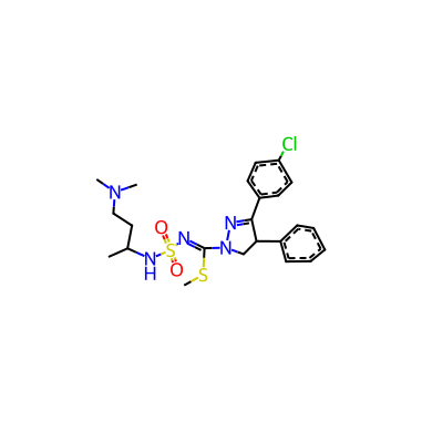 CSC(=NS(=O)(=O)NC(C)CCN(C)C)N1CC(c2ccccc2)C(c2ccc(Cl)cc2)=N1